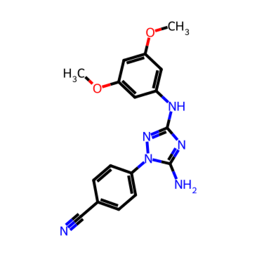 COc1cc(Nc2nc(N)n(-c3ccc(C#N)cc3)n2)cc(OC)c1